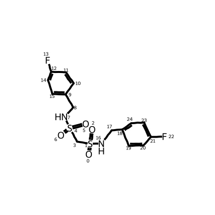 O=S(=O)(CS(=O)(=O)NCc1ccc(F)cc1)NCc1ccc(F)cc1